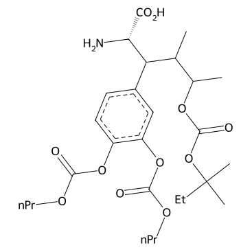 CCCOC(=O)Oc1ccc(C(C(C)C(C)OC(=O)OC(C)(C)CC)[C@H](N)C(=O)O)cc1OC(=O)OCCC